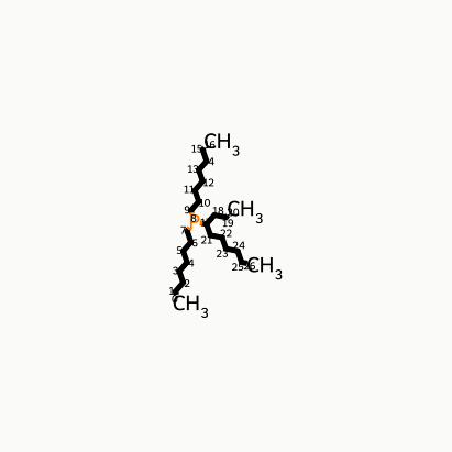 CCCCCCCCP(CCCCCCCC)C(CCC)CCCCCC